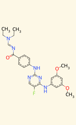 CCN(C=NC(=O)c1ccc(Nc2ncc(F)c(Nc3cc(OC)cc(OC)c3)n2)cc1)CC